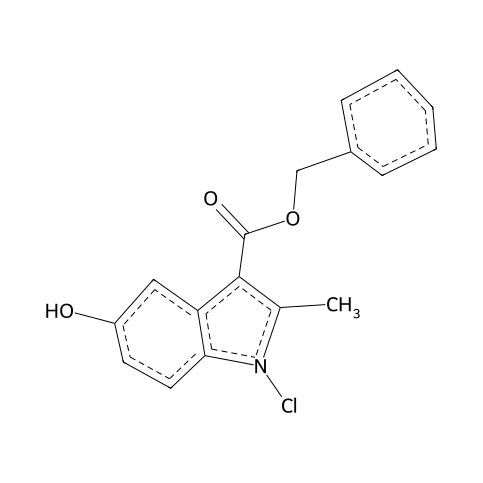 Cc1c(C(=O)OCc2ccccc2)c2cc(O)ccc2n1Cl